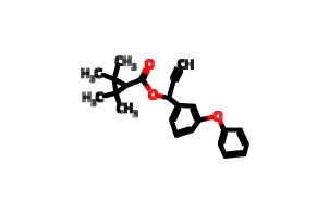 C#CC(OC(=O)C1C(C)(C)C1(C)C)c1cccc(Oc2ccccc2)c1